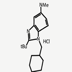 CNc1ccc2c(c1)nc(C(C)(C)C)n2CC1CCCCC1.Cl